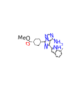 COC(=O)C1CCC(c2nc(-c3cc4cccc(C)c4[nH]3)c3c(N)ncnn23)CC1